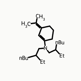 CCCCC(CC)CN(CC(CC)CCCC)C1=CC(=C(C)C)CCC1